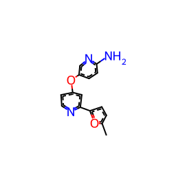 Cc1ccc(-c2cc(Oc3ccc(N)nc3)ccn2)o1